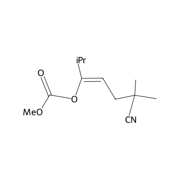 COC(=O)O/C(=C\CC(C)(C)C#N)C(C)C